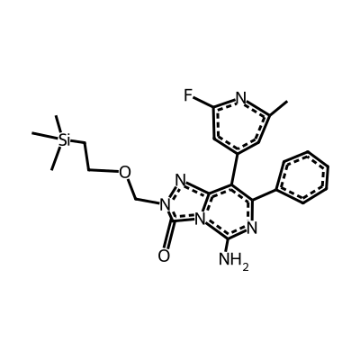 Cc1cc(-c2c(-c3ccccc3)nc(N)n3c(=O)n(COCC[Si](C)(C)C)nc23)cc(F)n1